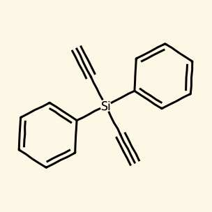 C#C[Si](C#C)(c1ccccc1)c1ccccc1